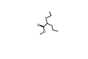 CCSC(SCC)C(=O)OC